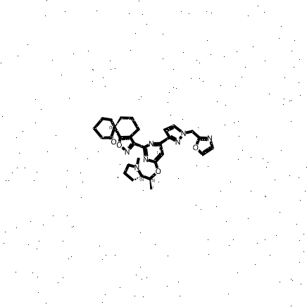 C[C@H](Oc1cc(-c2ccn(Cc3ncco3)n2)nc(-c2noc3c2CCC[C@@]32CCCCC2=O)n1)[C@@H]1CCCN1C